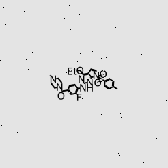 CCOc1nc(Nc2ccc(C(=O)N3CCN(C)CC3)cc2F)nc2c1ccn2S(=O)(=O)c1ccc(C)cc1